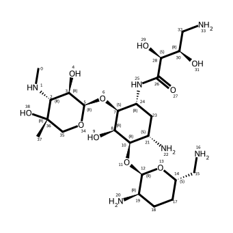 CN[C@@H]1[C@@H](O)[C@@H](O[C@@H]2[C@H](O)[C@H](O[C@H]3O[C@H](CN)CC[C@H]3N)[C@@H](N)C[C@H]2NC(=O)[C@@H](O)[C@H](O)CN)OC[C@]1(C)O